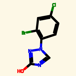 Oc1ncn(-c2ccc(Cl)cc2Br)n1